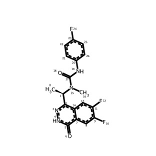 C[C@H](c1n[nH]c(=O)c2cc(F)c(F)cc12)N(C)C(=O)Nc1ccc(F)cc1